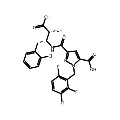 O=C(N[C@H](Cc1ccccc1Cl)[C@@H](O)C(=O)O)c1cc(C(=O)O)n(Cc2c(F)ccc(Cl)c2F)n1